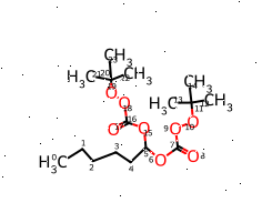 CCCCCC(OC(=O)OOC(C)(C)C)OC(=O)OOC(C)(C)C